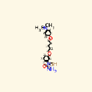 CN(C)c1ccc(OCCCCCOc2cccc(N(S)C(N)=O)c2)cc1